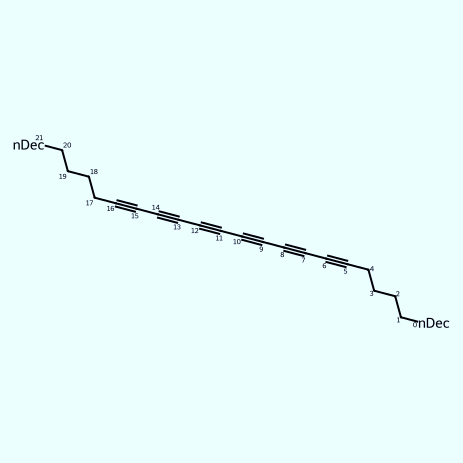 CCCCCCCCCCCCCCC#CC#CC#CC#CC#CC#CCCCCCCCCCCCCCC